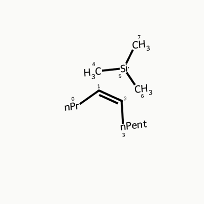 CCC/C=C\CCCCC.C[Si](C)C